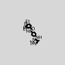 CCOc1ccc(C(=O)NC2CCC(Nc3nc(N(C)C)ncc3C)CC2)cc1OCC